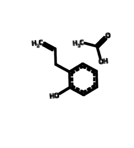 C=CCc1ccccc1O.CC(=O)O